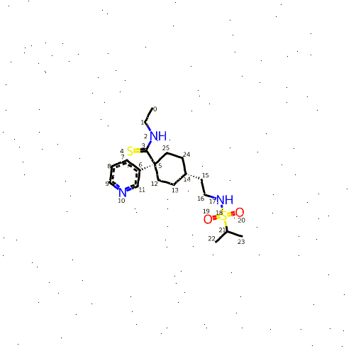 CCNC(=S)[C@]1(c2cccnc2)CC[C@@H](CCNS(=O)(=O)C(C)C)CC1